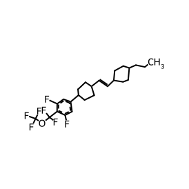 CCCC1CCC(/C=C/C2CCC(c3cc(F)c(C(F)(F)OC(F)(F)F)c(F)c3)CC2)CC1